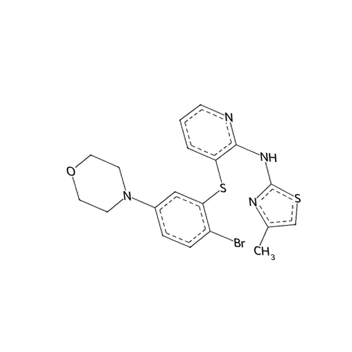 Cc1csc(Nc2ncccc2Sc2cc(N3CCOCC3)ccc2Br)n1